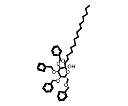 CCCCCCCCCCCCCCCC(=O)[C@@]1(O)O[C@H](COCc2ccccc2)[C@@H](OCc2ccccc2)[C@H](OCc2ccccc2)[C@H]1OCc1ccccc1